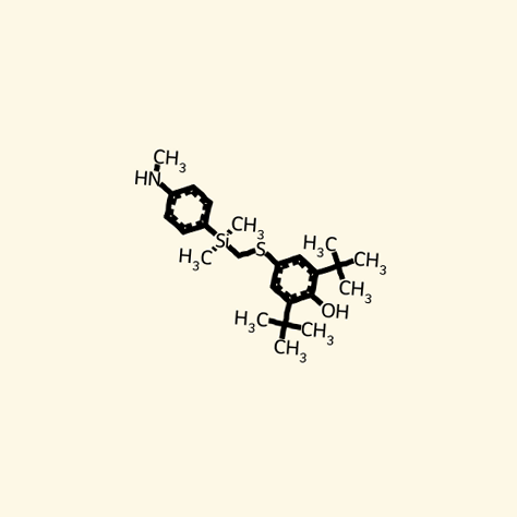 CNc1ccc([Si](C)(C)CSc2cc(C(C)(C)C)c(O)c(C(C)(C)C)c2)cc1